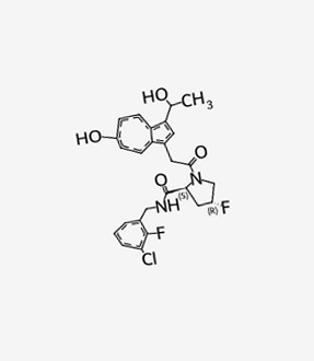 CC(O)c1cc(CC(=O)N2C[C@H](F)C[C@H]2C(=O)NCc2cccc(Cl)c2F)c2ccc(O)ccc1-2